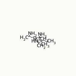 C=C(N)CCC(NC(=C)C(C)(C)CCC)C(=C)N